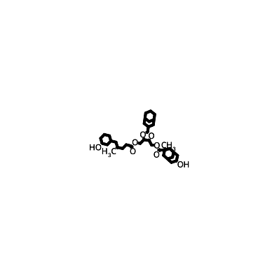 CC(CCC(=O)OCC1OC(C2CC3CCCC(C3)C2)OC1COC(=O)C1(C)CC2CC(O)CC(C2)C1)CC1CCCC(O)C1